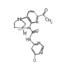 CC(=O)c1ccc2c(n1)N(C(=O)Nc1cc(Cl)ncn1)[C@H]1CCN2C1